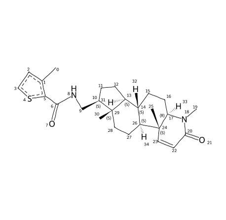 Cc1ccsc1C(=O)NC[C@H]1CC[C@H]2[C@@H]3CC[C@H]4N(C)C(=O)C=C[C@]4(C)[C@H]3CC[C@]12C